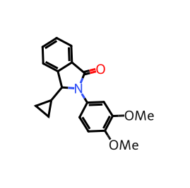 COc1ccc(N2C(=O)c3ccccc3C2C2CC2)cc1OC